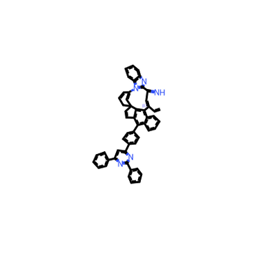 C=C/C1=C\C(=N)c2nc3ccccc3n2C2=CC3(C=Cc4c3c1c1ccccc1c4-c1ccc(-c3cc(-c4ccccc4)nc(-c4ccccc4)n3)cc1)CC=C2